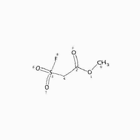 COC(=O)CS(=O)(=O)F